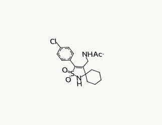 CC(=O)[N]CC1=C(c2ccc(Cl)cc2)S(=O)(=O)NC12CCCCC2